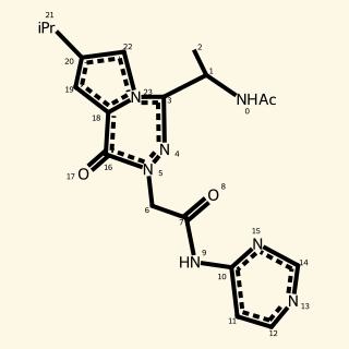 CC(=O)NC(C)c1nn(CC(=O)Nc2ccncn2)c(=O)c2cc(C(C)C)cn12